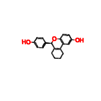 Oc1ccc([C@H]2Oc3ccc(O)cc3C3=C2CCCC3)cc1